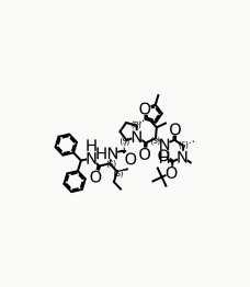 CC[C@H](C)[C@H](NC(=O)[C@@H]1CC[C@H](c2ccc(C)o2)N1C(=O)[C@@H](NC(=O)[C@H](C)N(C)C(=O)OC(C)(C)C)C(C)C)C(=O)NC(c1ccccc1)c1ccccc1